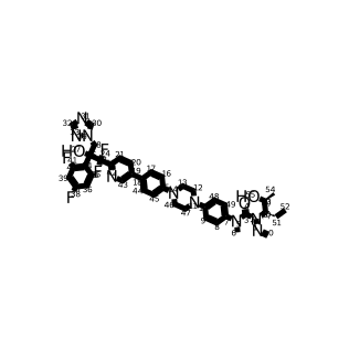 C=NN(C(=O)N(C)c1ccc(N2CCN(c3ccc(-c4ccc(C(F)(F)C(O)(Cn5cncn5)c5ccc(F)cc5F)nc4)cc3)CC2)cc1)[C@@H](CC)[C@H](C)O